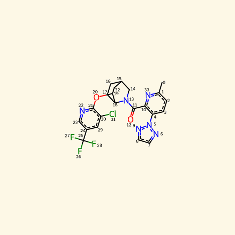 Cc1ccc(-n2nccn2)c(C(=O)N2CC3CCC2C(Oc2ncc(C(F)(F)F)cc2Cl)C3)n1